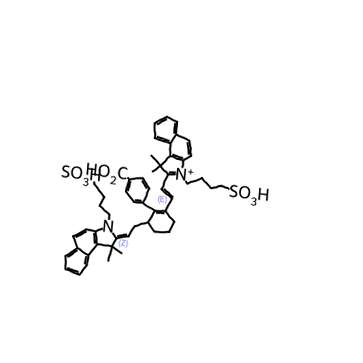 CC1(C)C(/C=C/C2=C(c3ccc(C(=O)O)cc3)C(C/C=C3\N(CCCCS(=O)(=O)O)c4ccc5ccccc5c4C3(C)C)CCC2)=[N+](CCCCS(=O)(=O)O)c2ccc3ccccc3c21